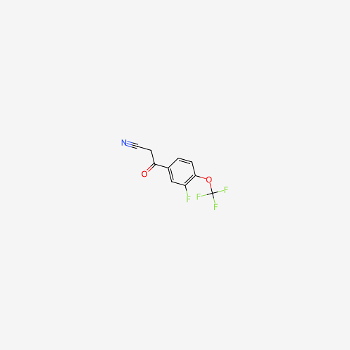 N#CCC(=O)c1ccc(OC(F)(F)F)c(F)c1